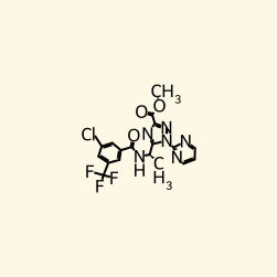 COC(=O)c1nc([C@@H](C)NC(=O)c2cc(Cl)cc(C(F)(F)F)c2)n(-c2ncccn2)n1